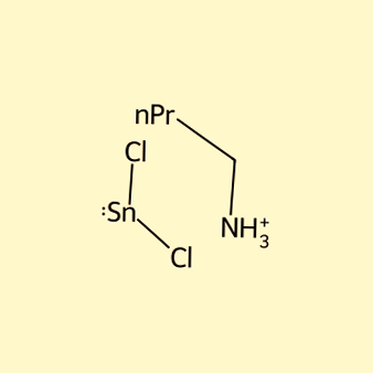 CCCC[NH3+].[Cl][Sn][Cl]